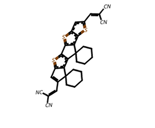 N#CC(C#N)=CC1=Cc2sc3c(c2C12CCCCC2)C1(CCCCC1)c1c-3sc2cc(C=C(C#N)C#N)sc12